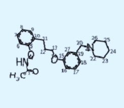 CC(=O)NOc1ccccc1CCCOc1cccc(CN2CCCCC2)c1